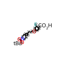 CC(C)(C)OC(=O)N1CCC2(CC1)CC(CCCOc1ccc(C(=O)O)c(F)c1)C2